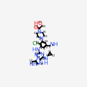 N=Cc1cc(Nc2nc(NC3CC3)c3ncc(C=N)n3n2)c(Cl)c(N2CCN(C(=O)CO)CC2)c1